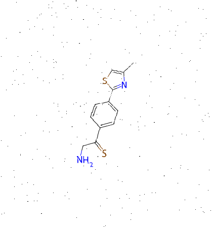 Cc1csc(-c2ccc(C(=S)CN)cc2)n1